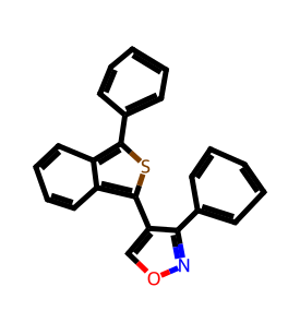 c1ccc(-c2nocc2-c2sc(-c3ccccc3)c3ccccc23)cc1